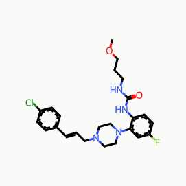 COCCCNC(=O)Nc1ccc(F)cc1N1CCN(CC=Cc2ccc(Cl)cc2)CC1